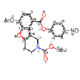 CCCCOC(=O)N1CCc2oc3c(OC)ccc(C(=O)Oc4ccc([N+](=O)[O-])cc4)c3c2C1